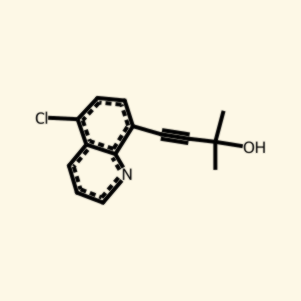 CC(C)(O)C#Cc1ccc(Cl)c2cccnc12